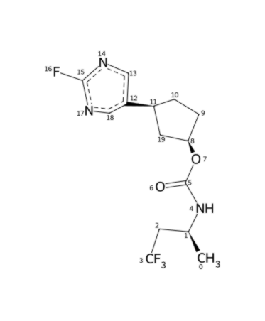 C[C@@H](CC(F)(F)F)NC(=O)O[C@@H]1CC[C@H](c2cnc(F)nc2)C1